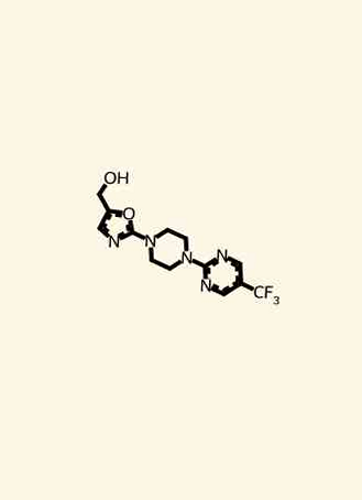 OCc1cnc(N2CCN(c3ncc(C(F)(F)F)cn3)CC2)o1